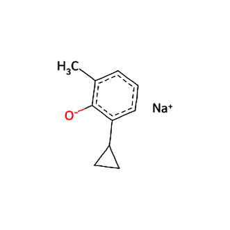 Cc1cccc(C2CC2)c1[O-].[Na+]